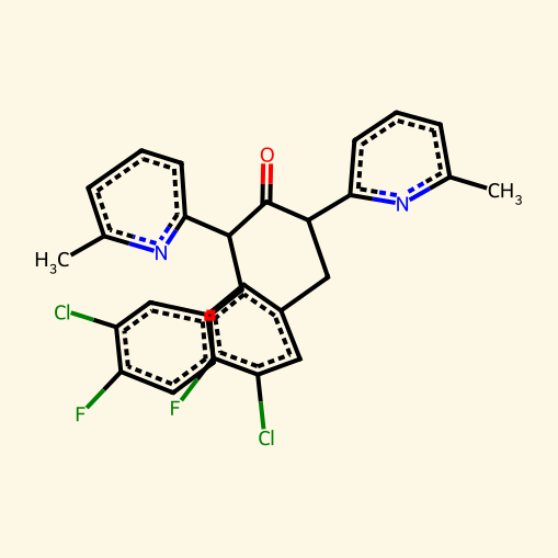 Cc1cccc(C(Cc2ccc(F)c(Cl)c2)C(=O)C(Cc2ccc(F)c(Cl)c2)c2cccc(C)n2)n1